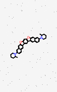 CC1CCCCN1c1ccc2cc3c(cc2c1)oc1cc2oc4cc5cc(N6CCCCC6C)ccc5cc4c2cc13